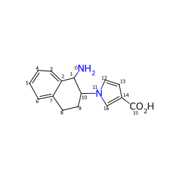 NC1c2ccccc2CCC1n1ccc(C(=O)O)c1